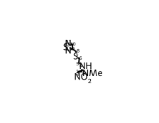 CNC(=C[N+](=O)[O-])NCCSCc1cnsn1